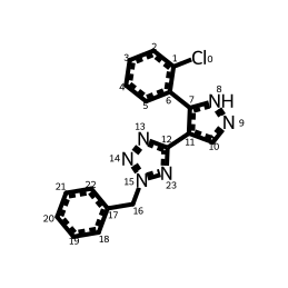 Clc1ccccc1-c1[nH]ncc1-c1nnn(Cc2ccccc2)n1